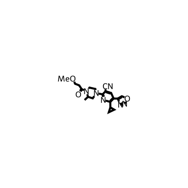 COCCC(=O)N1CCN(c2nc(C3CC3)c(-c3conn3)cc2C#N)CC1C